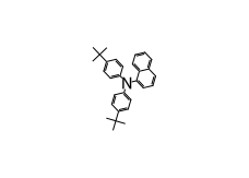 CC(C)(C)c1ccc(N(c2ccc(C(C)(C)C)cc2)c2cccc3ccccc23)cc1